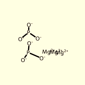 [Mg+2].[Mg+2].[Mg+2].[O-]P([O-])[O-].[O-]P([O-])[O-]